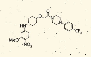 COc1cc(NC2CCC(OCC(=O)N3CCN(c4ccc(C(F)(F)F)cc4)CC3)CC2)ccc1[N+](=O)[O-]